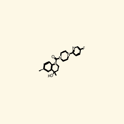 C[C@H]1C=CC2=C(C1)C(C)(O)CCN2C(=O)N1CCN(c2ccc(F)cn2)CC1